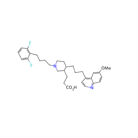 COc1ccc2nccc(CCCC3CCN(CCCCc4c(F)cccc4F)CC3CCC(=O)O)c2c1